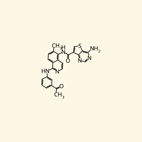 CC(=O)c1cccc(Nc2nccc3c(NC(=O)c4csc5c(N)ncnc45)c(C)ccc23)c1